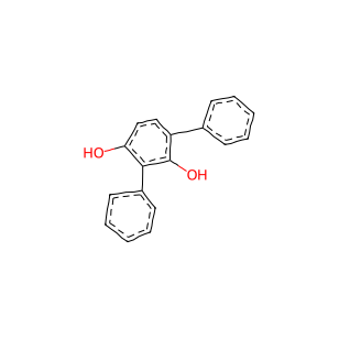 Oc1ccc(-c2ccccc2)c(O)c1-c1ccccc1